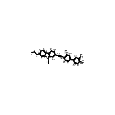 CCCc1ccc2c(c1)[nH]c1cc(C#Cc3ccc(-c4ccc(F)c(F)c4)cc3F)ccc12